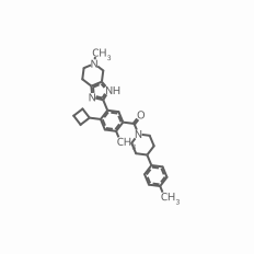 Cc1ccc(C2CCN(C(=O)c3cc(-c4nc5c([nH]4)CN(C)CC5)c(C4CCC4)cc3C)CC2)cc1